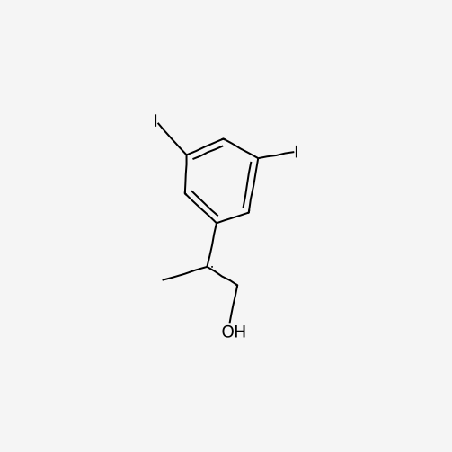 C[C](CO)c1cc(I)cc(I)c1